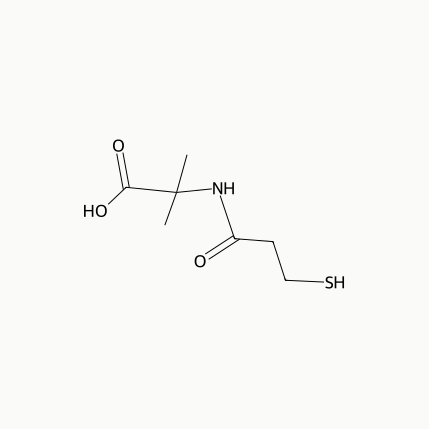 CC(C)(NC(=O)CCS)C(=O)O